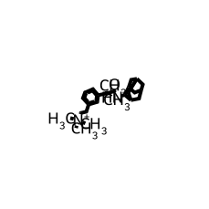 CC(C)(C(=O)NC1C2CC3CC(C2)CC1C3)c1cccc(CC[N+](C)(C)C)c1